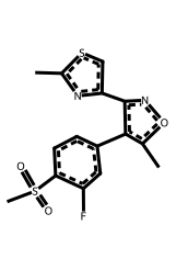 Cc1nc(-c2noc(C)c2-c2ccc(S(C)(=O)=O)c(F)c2)cs1